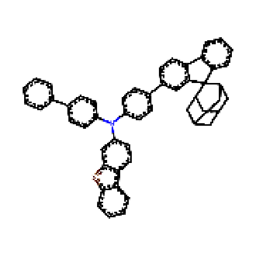 c1ccc(-c2ccc(N(c3ccc(-c4ccc5c(c4)C4(c6ccccc6-5)C5CC6CC(C5)CC4C6)cc3)c3ccc4c(c3)sc3ccccc34)cc2)cc1